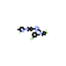 Cc1ccc(N2CC3(CC(c4nnc5n4-c4ccc(Cl)cc4CN(C4(C)CC(F)(F)C4)C5)C3)C2)nc1F